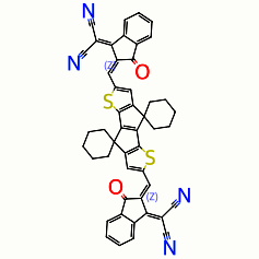 N#CC(C#N)=C1/C(=C/c2cc3c(s2)C2=C(c4sc(/C=C5\C(=O)c6ccccc6C5=C(C#N)C#N)cc4C24CCCCC4)C32CCCCC2)C(=O)c2ccccc21